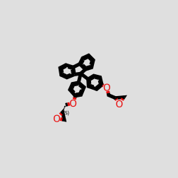 c1ccc2c(c1)-c1ccccc1C2(c1ccc(OCC2CO2)cc1)c1ccc(OC[C@@H]2CO2)cc1